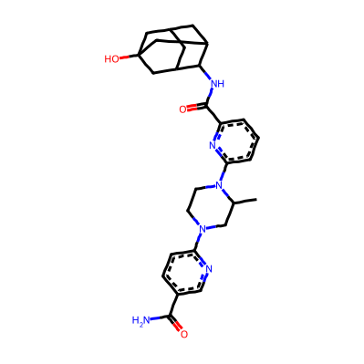 CC1CN(c2ccc(C(N)=O)cn2)CCN1c1cccc(C(=O)NC2C3CC4CC2CC(O)(C4)C3)n1